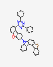 c1ccc(-c2nc(-c3ccccc3)nc(-c3cccc4oc5cc(-n6c7ccccc7c7c8c(ccc76)sc6ccccc68)ccc5c34)n2)cc1